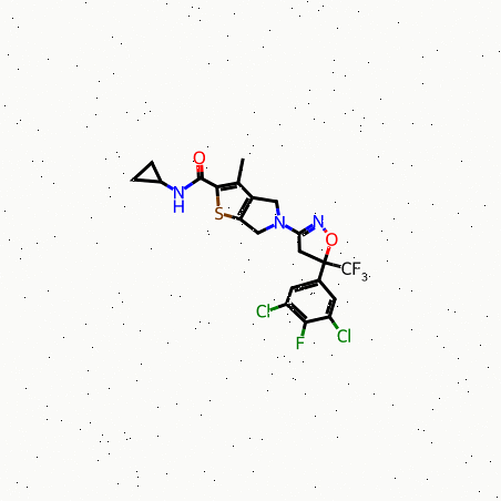 Cc1c(C(=O)NC2CC2)sc2c1CN(C1=NOC(c3cc(Cl)c(F)c(Cl)c3)(C(F)(F)F)C1)C2